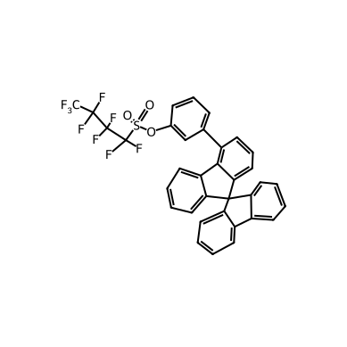 O=S(=O)(Oc1cccc(-c2cccc3c2-c2ccccc2C32c3ccccc3-c3ccccc32)c1)C(F)(F)C(F)(F)C(F)(F)C(F)(F)F